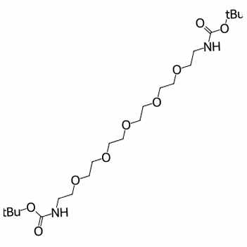 CC(C)(C)OC(=O)NCCOCCOCCOCCOCCOCCNC(=O)OC(C)(C)C